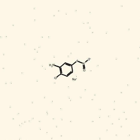 Nc1cc(S[N+](=O)[O-])ccc1[O-].[Na+]